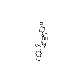 O=C1C(c2ccc3c(c2)CCC3)C=NN1CNS(=O)(=O)c1ccc(Cl)cc1